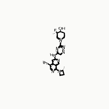 CC(C)c1cnc(N2CC[C@H]2C)c2cnc(Nc3cnnc(N4CC[C@H](O)[C@](C)(F)C4)n3)cc12